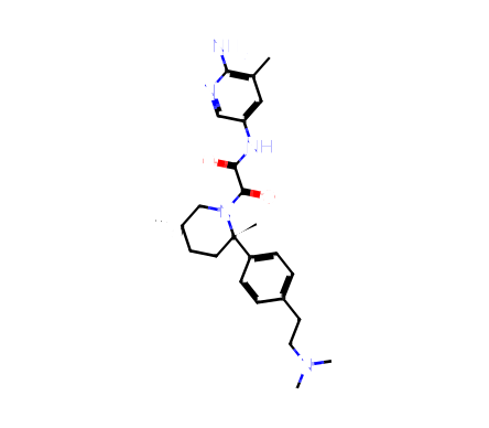 Cc1cc(NC(=O)C(=O)N2C[C@@H](C)CC[C@@]2(C)c2ccc(CCN(C)C)cc2)cnc1N